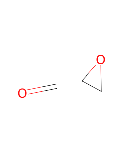 C1CO1.C=O